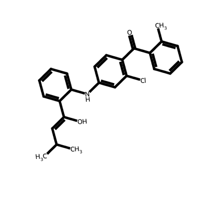 Cc1ccccc1C(=O)c1ccc(Nc2ccccc2C(O)=CC(C)C)cc1Cl